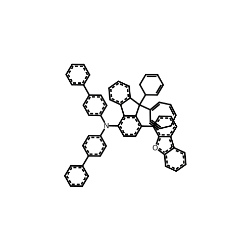 C1#CC(C2(C3C=CC=CC3)c3ccccc3-c3c(N(c4ccc(-c5ccccc5)cc4)c4ccc(-c5ccccc5)cc4)ccc(-c4cccc5c4oc4ccccc45)c32)=CC=CC1